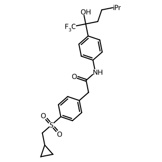 CC(C)CCC(O)(c1ccc(NC(=O)Cc2ccc(S(=O)(=O)CC3CC3)cc2)cc1)C(F)(F)F